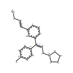 [3H]C/C=C/c1cccc(/C(=C/CN2CCCC2)c2ccc(C)cc2)n1